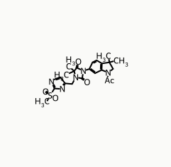 CC(=O)N1CC(C)(C)c2ccc(N3C(=O)N(Cc4ccnc(S(C)(=O)=O)n4)C(C)(C)C3=O)cc21